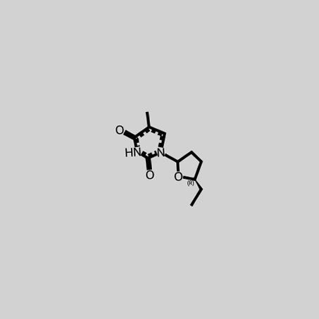 CC[C@@H]1CCC(n2cc(C)c(=O)[nH]c2=O)O1